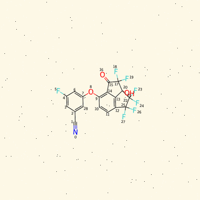 N#Cc1cc(F)cc(Oc2ccc3c4c2C(=O)C(F)(F)C4(O)C(F)(F)C3(F)F)c1